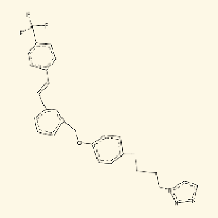 FC(F)(F)c1ccc(C=Cc2cccc(COc3ccc(CCCCn4ccnn4)cc3)c2)cc1